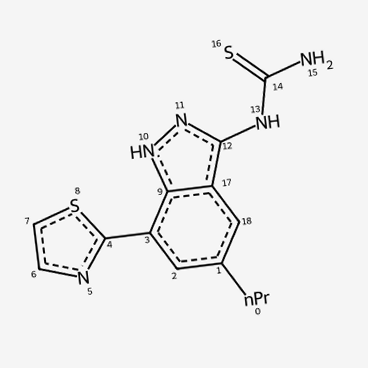 CCCc1cc(-c2nccs2)c2[nH]nc(NC(N)=S)c2c1